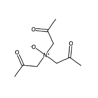 CC(=O)C[N+]([O])(CC(C)=O)CC(C)=O